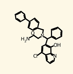 NC(=O)CN(Cc1ccc(-c2ccccc2)cc1)C(c1ccccc1)c1cc(Cl)c2cccnc2c1O